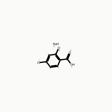 O=C(O)c1ccc(Cl)cc1Cl.[NaH]